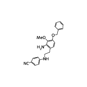 COc1c(OCc2ccccc2)ccc(CCNc2ccc(C#N)cc2)c1N